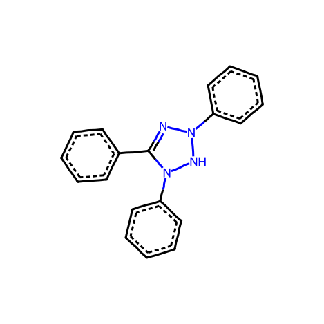 c1ccc(C2=NN(c3ccccc3)NN2c2ccccc2)cc1